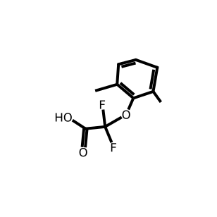 Cc1cccc(C)c1OC(F)(F)C(=O)O